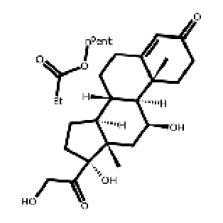 CCCCCOC(=O)CC.C[C@]12CCC(=O)C=C1CC[C@@H]1[C@@H]2[C@@H](O)C[C@@]2(C)[C@H]1CC[C@]2(O)C(=O)CO